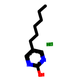 CCCCCCc1cnc(O)nc1.Cl